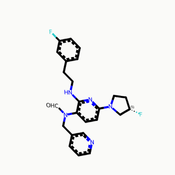 O=CN(Cc1cccnc1)c1ccc(N2CC[C@H](F)C2)nc1NCCc1cccc(F)c1